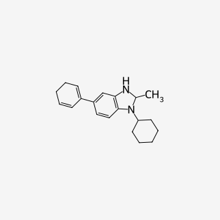 CC1Nc2cc(C3=CCCC=C3)ccc2N1C1CCCCC1